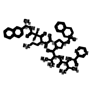 CCC[C@H](NC(=O)[C@@H]1C[C@@H](O[N+]2([O-])CCc3ccccc3C2)CN1C(=O)[C@@H](NC(=O)[C@@H](NC(=O)c1cnccn1)C(C)C)C(C)C)C(=O)C(F)(F)C(=O)N[C@@H](C)c1ccc2ccccc2c1